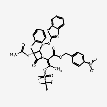 CC(=O)N[C@@]1(Oc2ccccc2)C(=O)N(C(C(=O)OCc2ccc([N+](=O)[O-])cc2)=C(C)OS(=O)(=O)C(F)(F)F)[C@@H]1SSc1nc2ccccc2s1